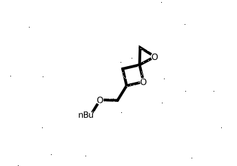 CCCCOCC1CC2(CO2)O1